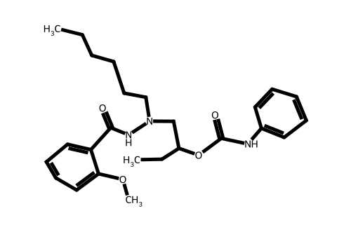 CCCCCCN(CC(CC)OC(=O)Nc1ccccc1)NC(=O)c1ccccc1OC